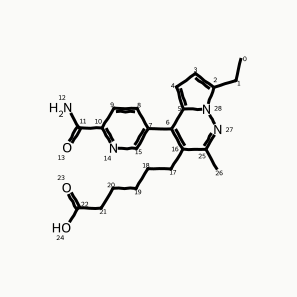 CCc1ccc2c(-c3ccc(C(N)=O)nc3)c(CCCCCC(=O)O)c(C)nn12